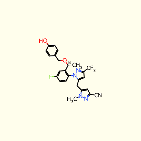 C[C@@H](OCc1ccc(O)cc1)c1cc(F)ccc1-n1nc(C(F)(F)F)cc1Cc1cc(C#N)nn1C